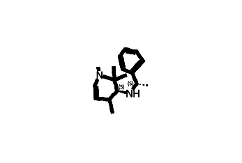 CC1C=CN(C)C(C)(C)[C@H]1N[C@@H](C)c1ccccc1